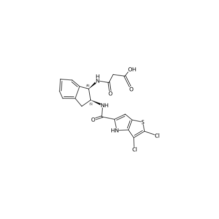 O=C(O)CC(=O)N[C@@H]1c2ccccc2C[C@@H]1NC(=O)c1cc2sc(Cl)c(Cl)c2[nH]1